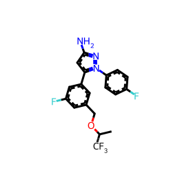 CC(OCc1cc(F)cc(-c2cc(N)nn2-c2ccc(F)cc2)c1)C(F)(F)F